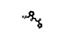 CCc1ccccc1C(=O)CCC(=O)n1ccnc1